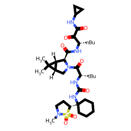 CCCC[C@H](NC(=O)[C@@H]1[C@@H]2[C@H](CN1C(=O)[C@@H](NC(=O)NC1([C@H]3CCN(C)S3(=O)=O)CCCCC1)C(C)(C)C)C2(C)C)C(=O)C(=O)NC1CC1